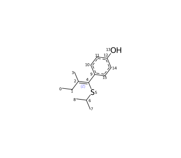 CC/C(C)=C(\SC(C)C)c1ccc(O)cc1